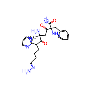 NN=CCCCC(C(=O)C(N)(CC(=O)C(N)(Cc1ccccc1)C(N)=O)C(=O)O)c1ncccn1